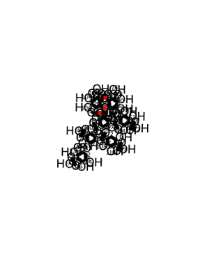 O=S(=O)(O)c1c(O)cc(S(=O)(=O)Oc2ccc(OS(=O)(=O)c3cc(O)c(O)c(S(=O)(=O)O)c3O)c(S(=O)(=O)O)c2OS(=O)(=O)c2cc(OS(=O)(=O)c3c(O)c(O)c(O)c(S(=O)(=O)O)c3O)c(OS(=O)(=O)c3cc(O)c(S(=O)(=O)O)c(O)c3O)c(S(=O)(=O)O)c2OS(=O)(=O)c2c(O)c(O)c(S(=O)(=O)O)c(O)c2O)c(O)c1O